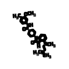 COc1cc(NC(=O)[C@H]2CC[C@@H](n3c(=O)[nH]c4c(N(C)CCN(C)C)cccc43)CC2)ccc1C